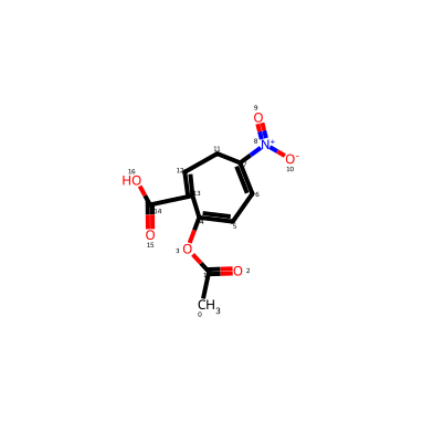 CC(=O)OC1=CC=C([N+](=O)[O-])CC=C1C(=O)O